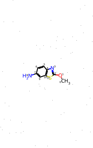 COc1nc2ccc(N)cc2s1